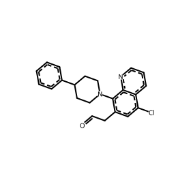 O=CCc1cc(Cl)c2cccnc2c1N1CCC(c2ccccc2)CC1